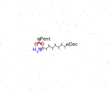 CCCCCCCCCCCCCCCCCC(N)OC(=O)CCCCC